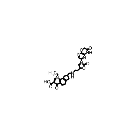 CCn1cc(C(=O)O)c(=O)c2ccc3c(c21)CC(CNCCC1CN(c2cnc4c(n2)NC(=O)CO4)C(=O)O1)C3